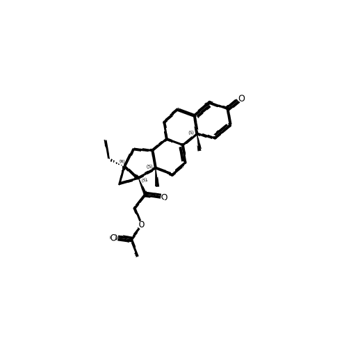 CC[C@]12CC3C4CCC5=CC(=O)C=C[C@]5(C)C4=CC[C@]3(C)[C@]1(C(=O)COC(C)=O)C2